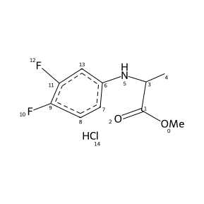 COC(=O)C(C)Nc1ccc(F)c(F)c1.Cl